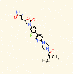 CC(C)=CC(=O)N1CCN(c2ccc(-c3ccc(N4CC(CCC(N)=O)OC4=O)cc3F)cn2)CC1